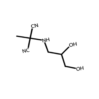 CC(C#N)(C#N)NCC(O)CO